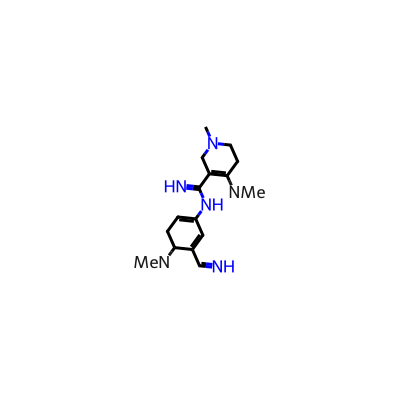 CNC1=C(C(=N)NC2=CCC(NC)C(C=N)=C2)CN(C)CC1